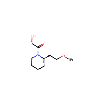 CC(C)OCC[C@H]1CCCCN1C(=O)CO